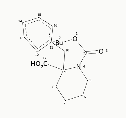 CC(C)(C)OC(=O)N1CCCCC1(Cc1ccccc1)C(=O)O